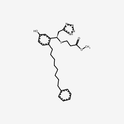 COC(=O)CCS[C@H](Cc1nnn[nH]1)c1cc(O)ccc1CCCCCCCCc1ccccc1